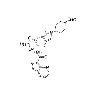 CC(C)(O)c1cc2nn(C3CCC(C=O)CC3)cc2cc1NC(=O)c1ncn2cccnc12